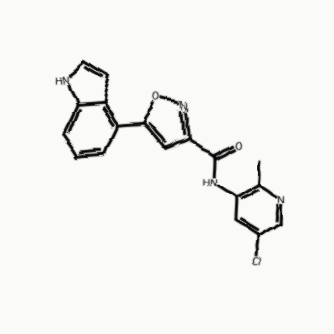 Cc1ncc(Cl)cc1NC(=O)c1cc(-c2cccc3[nH]ccc23)on1